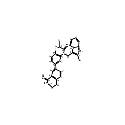 Cc1nc2ccccn2c1CN1C(=O)C(C)Oc2ccc(-c3ccc4c(c3)C(=O)NCC4)nc21